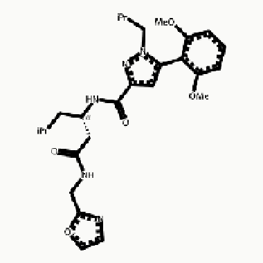 COc1cccc(OC)c1-c1cc(C(=O)N[C@H](CC(=O)NCc2ncco2)CC(C)C)nn1CC(C)C